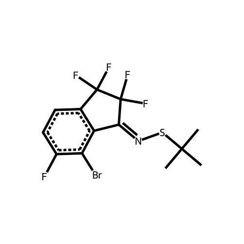 CC(C)(C)S/N=C1/c2c(ccc(F)c2Br)C(F)(F)C1(F)F